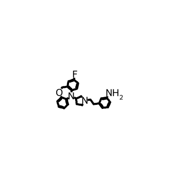 Nc1cccc(CCN2CCC(N3c4ccc(F)cc4COc4ccccc43)C2)c1